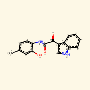 O=C(Nc1ccc([N+](=O)[O-])cc1O)C(=O)c1c[nH]c2ccccc12